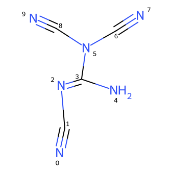 N#C/N=C(\N)N(C#N)C#N